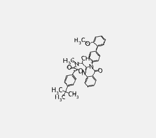 COc1ccccc1-c1ccc(-n2c(C(C)N(C)S(=O)(=O)c3ccc(C(C)(C)C)cc3)nc3ccccc3c2=O)cc1